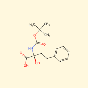 CC(C)(C)OC(=O)N[C@](O)(CCc1ccccc1)C(=O)O